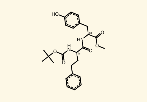 COC(=O)[C@H](Cc1ccc(O)cc1)NC(=O)[C@@H](CCc1ccccc1)NC(=O)OC(C)(C)C